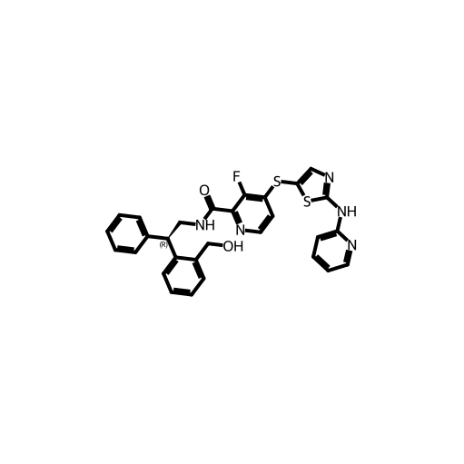 O=C(NC[C@H](c1ccccc1)c1ccccc1CO)c1nccc(Sc2cnc(Nc3ccccn3)s2)c1F